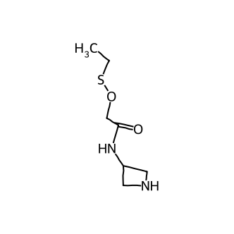 CCSOCC(=O)NC1CNC1